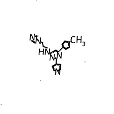 Cc1ccc(-c2cc(NCCCn3ccnc3)nc(-c3ccncc3)n2)cc1